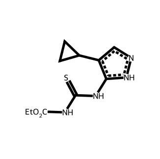 CCOC(=O)NC(=S)Nc1[nH]ncc1C1CC1